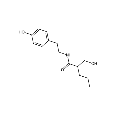 CCCC(CO)C(=O)NCCc1ccc(O)cc1